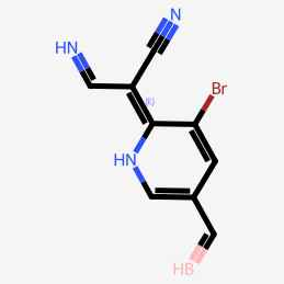 B=CC1=CN/C(=C(/C#N)C=N)C(Br)=C1